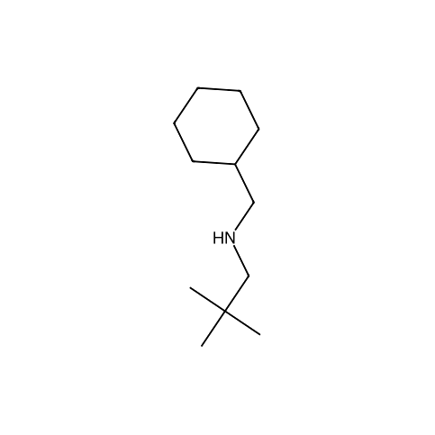 CC(C)(C)CNCC1CCCCC1